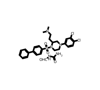 CN(C)CCC1CN(c2ccc(Cl)c(Cl)c2)CCN1S(=O)(=O)c1ccc(-c2ccccc2)cc1.NC(=O)NC=O